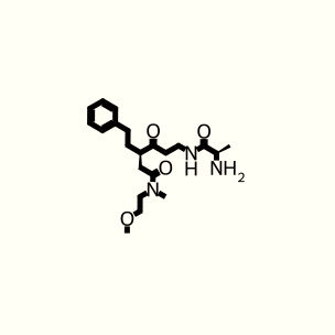 COCCN(C)C(=O)C[C@@H](CCc1ccccc1)C(=O)CCNC(=O)[C@@H](C)N